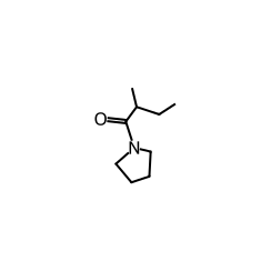 CCC(C)C(=O)N1CCCC1